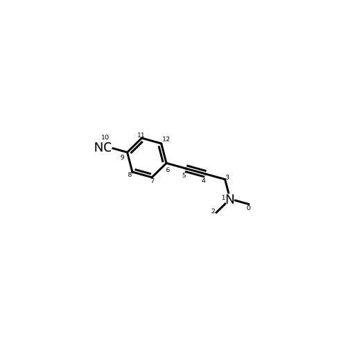 CN(C)CC#Cc1ccc(C#N)cc1